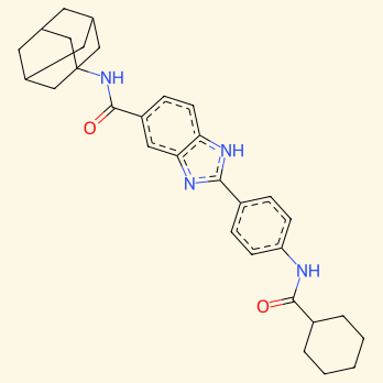 O=C(NC12CC3CC(CC(C3)C1)C2)c1ccc2[nH]c(-c3ccc(NC(=O)C4CCCCC4)cc3)nc2c1